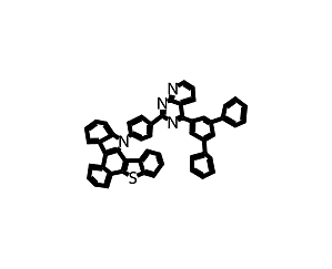 c1ccc(-c2cc(-c3ccccc3)cc(-c3nc(-c4ccc(-n5c6ccccc6c6c7ccccc7c7sc8ccccc8c7c65)cc4)nc4ncccc34)c2)cc1